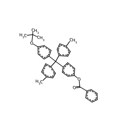 Cc1ccc(C(c2ccc(C)cc2)(c2ccc(OC(=O)c3ccccc3)cc2)c2ccc(OC(C)(C)C)cc2)cc1